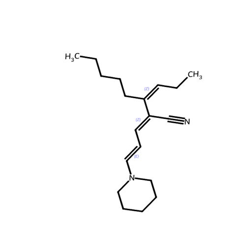 CC\C=C(CCCCC)/C(C#N)=C/C=C/N1CCCCC1